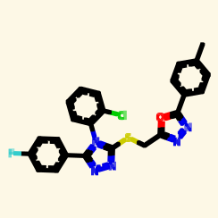 Cc1ccc(-c2nnc(CSc3nnc(-c4ccc(F)cc4)n3-c3ccccc3Cl)o2)cc1